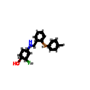 Cc1ccc(Sc2ccccc2CNc2ccc(O)c(F)c2)cc1